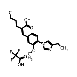 CCc1cn(-c2ccc(C=C(CCCCl)C(=O)O)cc2OC)cn1.O=C(O)C(F)(F)F